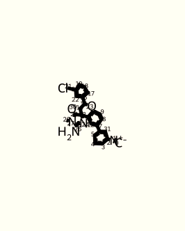 [C-]#[N+]c1cccc(-c2ccc3c(c2)C2(CC(c4cccc(Cl)c4)O3)N=C(N)N(C)C2=O)c1